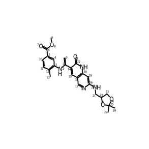 C=C(Nc1cc(C(=O)OC)ccc1C)c1cc2cnc(NCC3COC(C)(C)O3)cc2[nH]c1=O